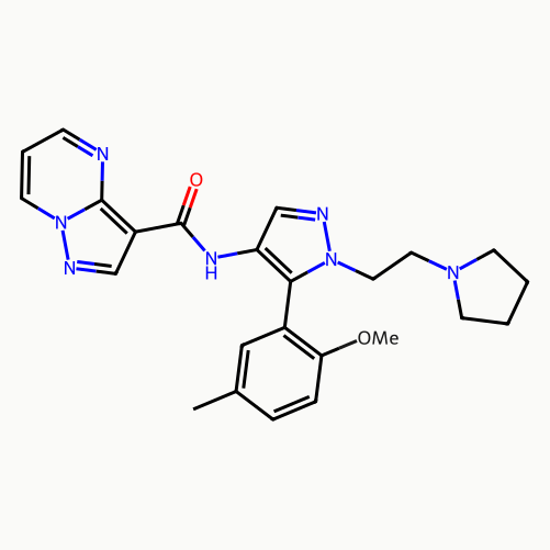 COc1ccc(C)cc1-c1c(NC(=O)c2cnn3cccnc23)cnn1CCN1CCCC1